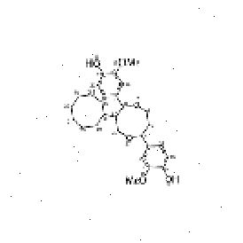 COc1cc(C2CCOC(c3ccc(O)c(OC)c3)C(C3CCCCCCC3)CO2)ccc1O